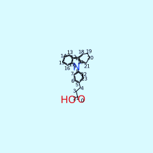 O=C(O)CCc1ccc(-n2c3c(c4ccccc42)=CCCC=3)cc1